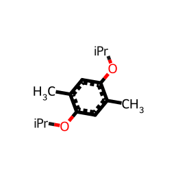 Cc1cc(OC(C)C)c(C)cc1OC(C)C